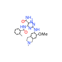 COc1cc2c(cc1Nc1nnc(C(N)=O)c(NC(=O)c3ccccc3C)n1)CCN(C)C2